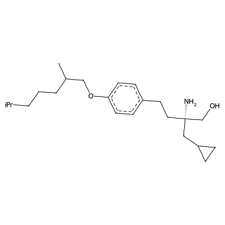 CC(C)CCCC(C)COc1ccc(CC[C@@](N)(CO)CC2CC2)cc1